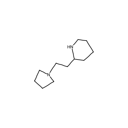 C1CCC(CCN2CCCC2)NC1